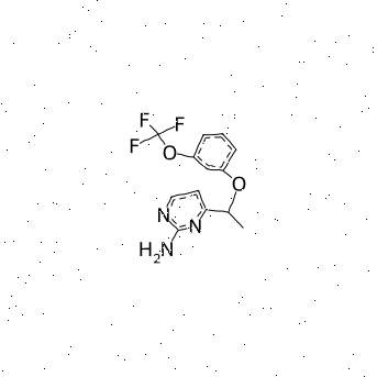 CC(Oc1cccc(OC(F)(F)F)c1)c1ccnc(N)n1